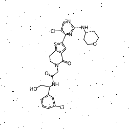 O=C(CN1CCc2sc(-c3nc(NC4CCOCC4)ncc3Cl)cc2C1=O)NC(CO)c1cccc(Cl)c1